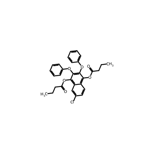 CCCC(=O)Oc1c(Oc2ccccc2)c(Oc2ccccc2)c(OC(=O)CCC)c2cc(Cl)ccc12